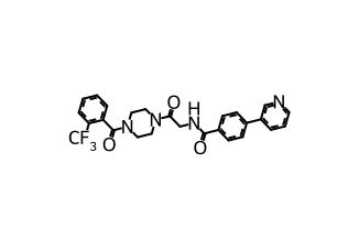 O=C(NCC(=O)N1CCN(C(=O)c2ccccc2C(F)(F)F)CC1)c1ccc(-c2cccnc2)cc1